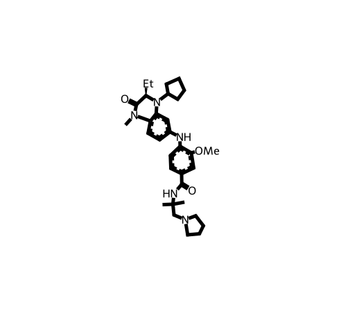 CC[C@@H]1C(=O)N(C)c2ccc(Nc3ccc(C(=O)NC(C)(C)CN4CCCC4)cc3OC)cc2N1C1CCCC1